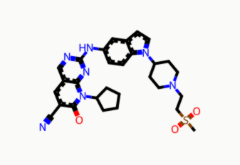 CS(=O)(=O)CCN1CCC(n2ccc3cc(Nc4ncc5cc(C#N)c(=O)n(C6CCCC6)c5n4)ccc32)CC1